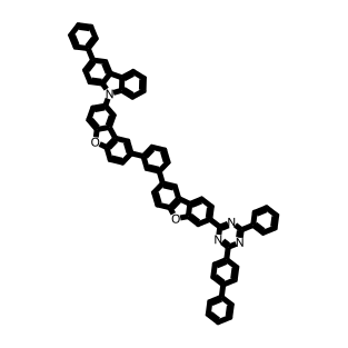 c1ccc(-c2ccc(-c3nc(-c4ccccc4)nc(-c4ccc5c(c4)oc4ccc(-c6cccc(-c7ccc8oc9ccc(-n%10c%11ccccc%11c%11cc(-c%12ccccc%12)ccc%11%10)cc9c8c7)c6)cc45)n3)cc2)cc1